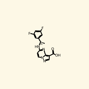 C[C@@H](Nc1ccn2ncc(C(=O)O)c2n1)c1cc(F)cc(F)c1